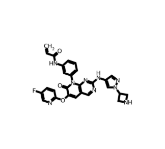 C=CC(=O)Nc1cccc(-n2c(=O)c(Oc3ccc(F)cn3)cc3cnc(Nc4cnn(C5CNC5)c4)nc32)c1